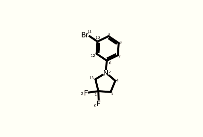 FC1(F)CCN(c2cccc(Br)c2)C1